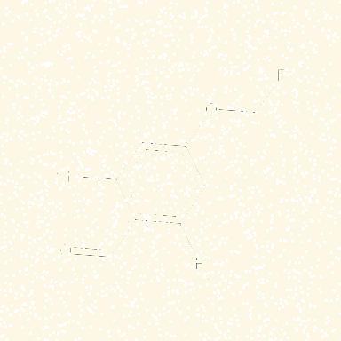 O=Cc1c(F)cc(OCF)cc1F